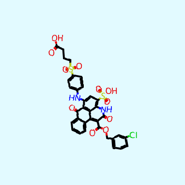 O=C(O)CCCS(=O)(=O)c1ccc(Nc2cc(S(=O)(=O)O)c3[nH]c(=O)c(C(=O)OCc4cccc(Cl)c4)c4c3c2C(=O)c2ccccc2-4)cc1